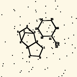 C1CC2C3CCC(C3)C2C1.CCC1CCCCC1